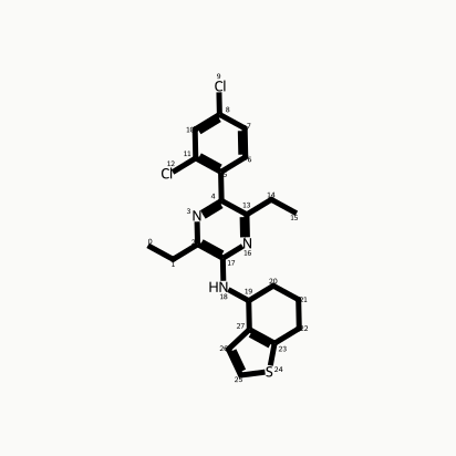 CCc1nc(-c2ccc(Cl)cc2Cl)c(CC)nc1NC1CCCc2sccc21